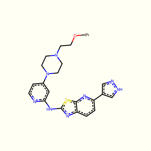 CC(C)OCCN1CCN(c2ccnc(Nc3nc4ccc(-c5cn[nH]c5)nc4s3)c2)CC1